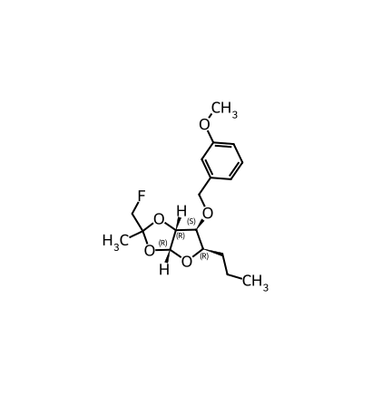 CCC[C@H]1O[C@@H]2OC(C)(CF)O[C@@H]2[C@H]1OCc1cccc(OC)c1